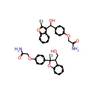 CCC1(c2ccc(OCC(N)=O)cc2)Oc2ccccc2C1CO.CCc1oc2ccccc2c1C(O)c1ccc(OCC(N)=O)cc1